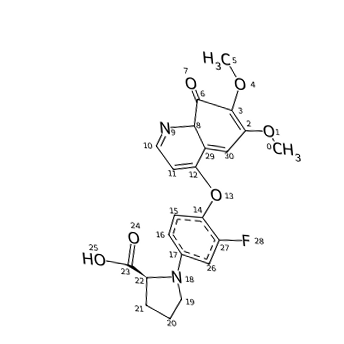 COC1=C(OC)C(=O)C2N=CC=C(Oc3ccc(N4CCC[C@H]4C(=O)O)cc3F)C2=C1